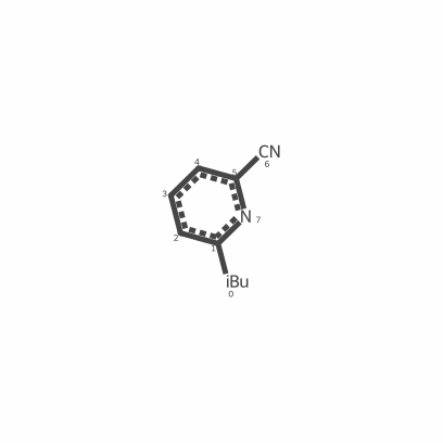 CCC(C)c1cccc(C#N)n1